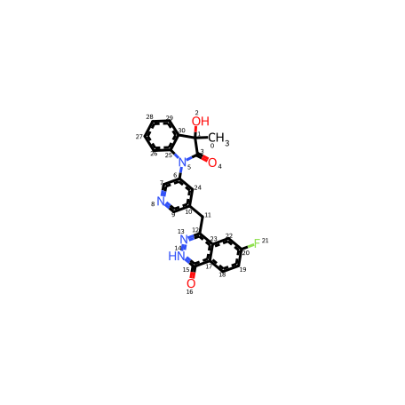 CC1(O)C(=O)N(c2cncc(Cc3n[nH]c(=O)c4ccc(F)cc34)c2)c2ccccc21